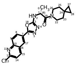 C[C@@H](Nc1nnc(-c2ccc3nc(Cl)ccc3c2)o1)C(=O)N1CCC2(CC1)CC2